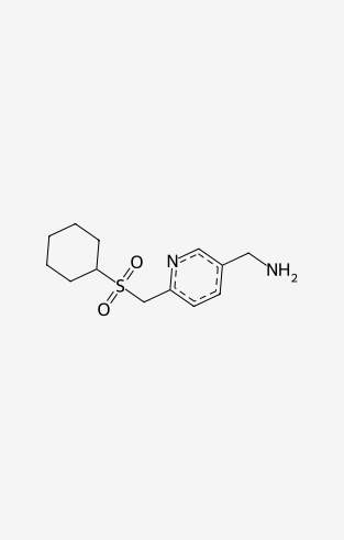 NCc1ccc(CS(=O)(=O)C2CCCCC2)nc1